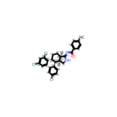 [C-]#[N+]c1ccc(C(=O)/N=C2\NC[C@H]3[C@@H](c4ccc(Cl)cc4)[C@H](c4ccc(Cl)cc4Cl)CC[C@@H]23)cc1